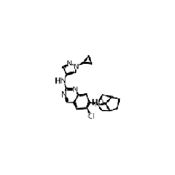 CC1(O)C2CCC1CN(c1cc3nc(Nc4cnn(C5CC5)c4)ncc3cc1Cl)C2